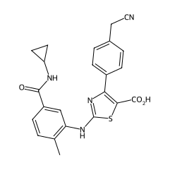 Cc1ccc(C(=O)NC2CC2)cc1Nc1nc(-c2ccc(CC#N)cc2)c(C(=O)O)s1